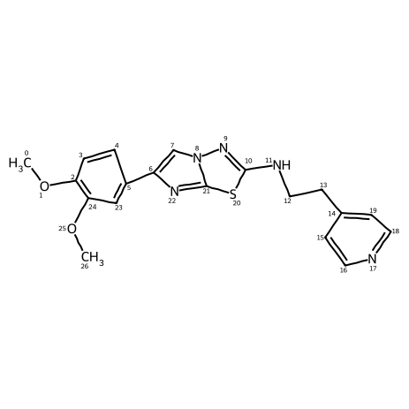 COc1ccc(-c2cn3nc(NCCc4ccncc4)sc3n2)cc1OC